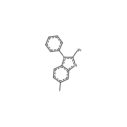 Cc1ccc2c(c1)nc(C(C)C)n2-c1ccccc1